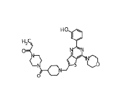 C=CC(=O)N1CCN(C(=O)C2CCN(Cc3cc4nc(-c5cccc(O)c5)nc(N5CCOCC5)c4s3)CC2)CC1